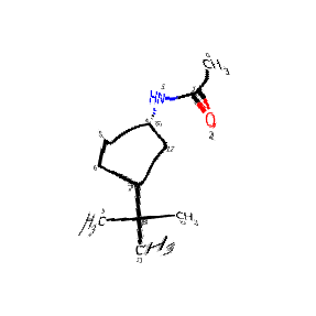 CC(=O)N[C@H]1CCC(C(C)(C)C)C1